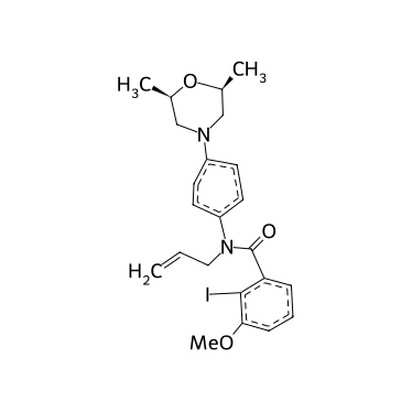 C=CCN(C(=O)c1cccc(OC)c1I)c1ccc(N2C[C@@H](C)O[C@@H](C)C2)cc1